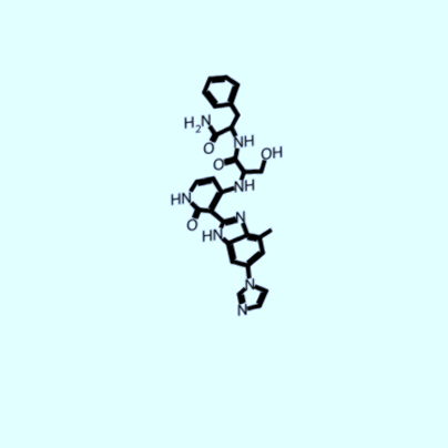 Cc1cc(-n2ccnc2)cc2[nH]c(-c3c(NC(CO)C(=O)NC(Cc4ccccc4)C(N)=O)cc[nH]c3=O)nc12